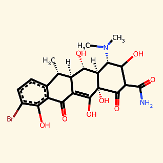 C[C@H]1c2ccc(Br)c(O)c2C(=O)C2=C(O)[C@]3(O)C(=O)C(C(N)=O)C(O)[C@@H](N(C)C)[C@@H]3[C@@H](O)[C@@H]21